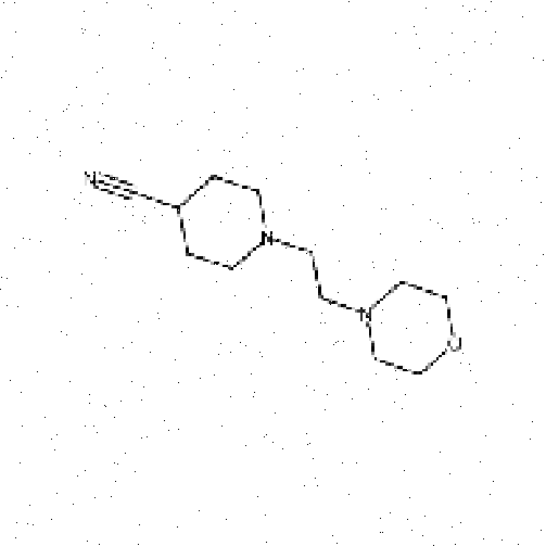 N#CC1CCN(CCN2CCOCC2)CC1